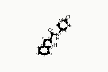 O=C(Nc1cnc(Cl)nc1)c1cc2ccccc2[nH]1